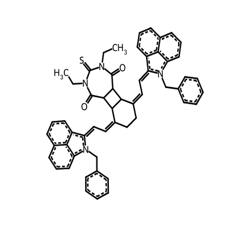 CCN1C(=O)C2C(C(=O)N(CC)C1=S)C1/C(=C\C=c3\c4cccc5cccc(c54)n3Cc3ccccc3)CC/C(=C/C=c3/c4cccc5cccc(c54)n3Cc3ccccc3)C21